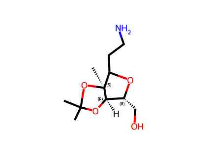 CC1(C)O[C@@H]2[C@@H](CO)OC(CCN)[C@]2(C)O1